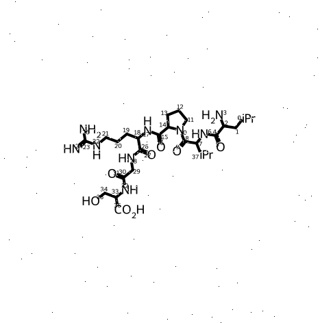 CC(C)CC(N)C(=O)NC(C(=O)N1CCCC1C(=O)NC(CCCNC(=N)N)C(=O)NCC(=O)NC(CO)C(=O)O)C(C)C